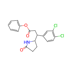 O=C1CCC(C(CC(=O)Oc2ccccc2)c2ccc(Cl)c(Cl)c2)N1